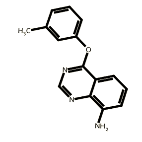 Cc1cccc(Oc2ncnc3c(N)cccc23)c1